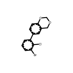 Clc1c(Br)cccc1-c1ccc2c(c1)COCO2